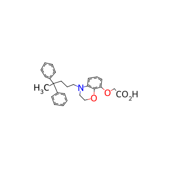 CC(CCCN1CCOc2c(OCC(=O)O)cccc21)(c1ccccc1)c1ccccc1